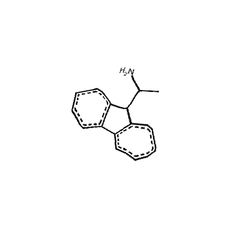 CC(N)C1c2ccccc2-c2ccccc21